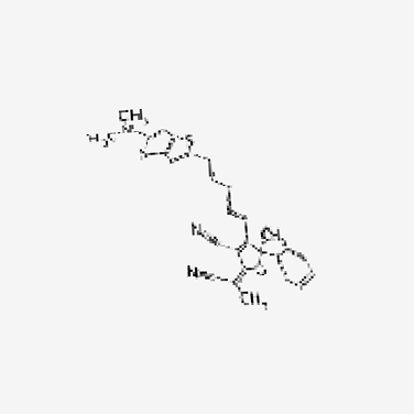 C/C(C#N)=C1\OC(C)(c2ccccc2)C(/C=C/C/C=C/c2cc3sc(N(C)C)cc3s2)=C1C#N